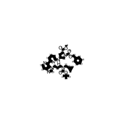 COC(=O)[C@@H]1C[C@H](Nc2cccc(-c3nccc4ncn(CCCN(CC5CC5)C(=O)OC(C)(C)C)c34)n2)CN1C(=O)OCc1ccccc1